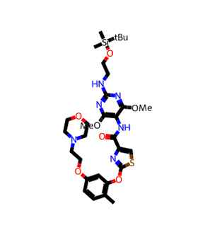 COc1nc(NCCO[Si](C)(C)C(C)(C)C)nc(OC)c1NC(=O)c1csc(Oc2cc(OCCN3CCOCC3)ccc2C)n1